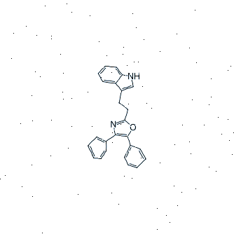 c1ccc(-c2nc(CCc3c[nH]c4ccccc34)oc2-c2ccccc2)cc1